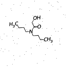 CCCCN(CCCC)C(=O)CO